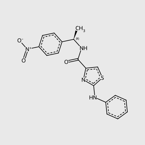 C[C@@H](NC(=O)c1csc(Nc2ccccc2)n1)c1ccc([N+](=O)[O-])cc1